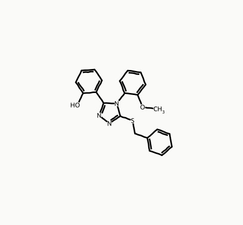 COc1ccccc1-n1c(SCc2ccccc2)nnc1-c1ccccc1O